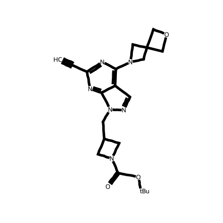 C#Cc1nc(N2CC3(COC3)C2)c2cnn(CC3CN(C(=O)OC(C)(C)C)C3)c2n1